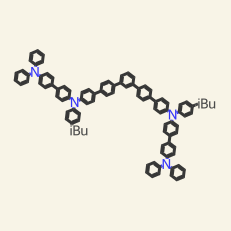 CCC(C)c1ccc(N(c2ccc(-c3ccc(-c4cccc(-c5ccc(-c6ccc(N(c7ccc(-c8ccc(N(c9ccccc9)c9ccccc9)cc8)cc7)c7ccc(C(C)CC)cc7)cc6)cc5)c4)cc3)cc2)c2ccc(-c3ccc(N(c4ccccc4)c4ccccc4)cc3)cc2)cc1